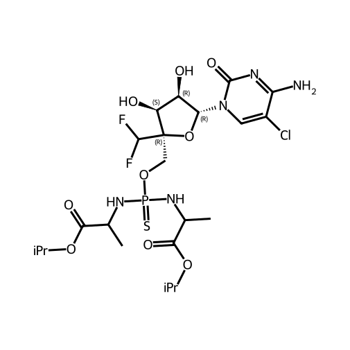 CC(C)OC(=O)C(C)NP(=S)(NC(C)C(=O)OC(C)C)OC[C@@]1(C(F)F)O[C@@H](n2cc(Cl)c(N)nc2=O)[C@H](O)[C@@H]1O